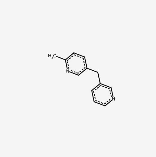 Cc1ccc(Cc2cccnc2)cn1